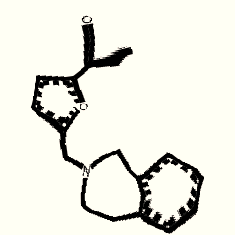 CC(=O)c1ccc(CN2CCc3ccccc3C2)o1